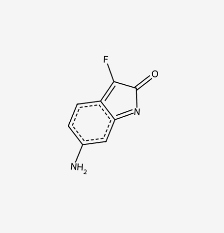 Nc1ccc2c(c1)=NC(=O)C=2F